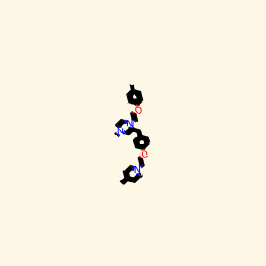 Cc1ccc(OCCN2CCN(C)CC2Cc2ccc(OCCN3CCC(C)CC3)cc2)cc1